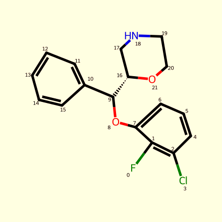 Fc1c(Cl)cccc1OC(c1ccccc1)[C@@H]1CNCCO1